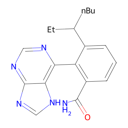 CCCCC(CC)c1cccc(C(N)=O)c1-c1ncnc2nc[nH]c12